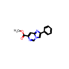 COC(=O)c1cc2nc(-c3ccccc3)cn2cn1